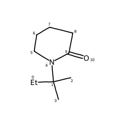 CCC(C)(C)N1CCCCC1=O